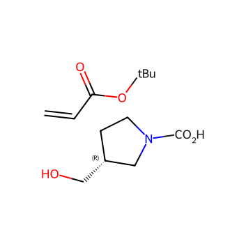 C=CC(=O)OC(C)(C)C.O=C(O)N1CC[C@@H](CO)C1